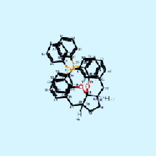 c1ccc(P(c2ccccc2)c2cccc3c2OC24Oc5c(cccc5P(c5ccccc5)c5ccccc5)C[C@H]2CC[C@@H]4C3)cc1